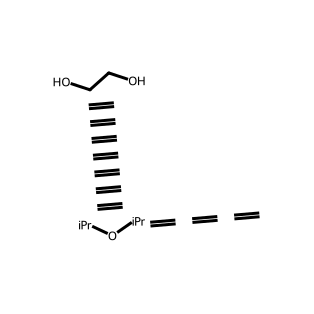 C=C.C=C.C=C.C=C.C=C.C=C.C=C.C=C.C=C.C=C.CC(C)OC(C)C.OCCO